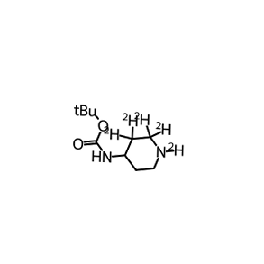 [2H]N1CCC(NC(=O)OC(C)(C)C)C([2H])([2H])C1([2H])[2H]